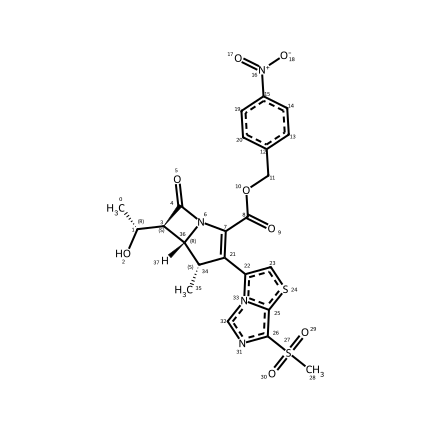 C[C@@H](O)[C@H]1C(=O)N2C(C(=O)OCc3ccc([N+](=O)[O-])cc3)=C(c3csc4c(S(C)(=O)=O)ncn34)[C@H](C)[C@H]12